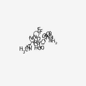 Cc1c(-c2cnn(C)c2)cnc(N2CCCC(F)(F)CC2)c1C(=O)Nc1cccc(S(C)(=O)=NC(=O)C2(N)CC2)c1.O=CO